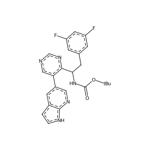 CC(C)(C)OC(=O)NC(Cc1cc(F)cc(F)c1)c1ncncc1-c1cnc2[nH]ccc2c1